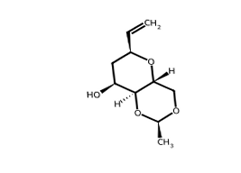 C=C[C@@H]1C[C@H](O)[C@@H]2O[C@H](C)OC[C@H]2O1